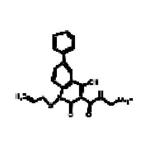 C=CCOn1c(=O)c(C(=O)NCC(=O)O)c(O)c2cc(-c3ccccc3)ccc21